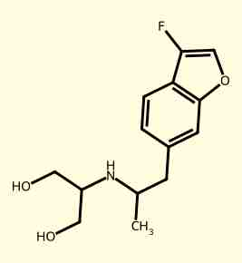 CC(Cc1ccc2c(F)coc2c1)NC(CO)CO